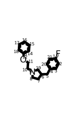 Fc1ccc(CC2CCN(CCOc3ccccc3)C2)cc1